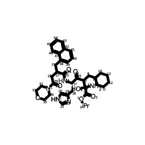 CC(C)OC(=O)C(N)(O)C(CC1CCCCC1)C(=O)[C@H](Cc1c[nH]cn1)NC(=O)C(CC(=O)N1CCOCC1)Cc1cccc2ccccc12